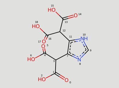 O=C(O)C(C(=O)O)c1nc[nH]c1C(C(=O)O)C(=O)O